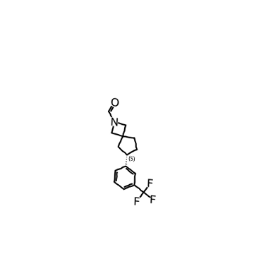 O=CN1CC2(CC[C@H](c3cccc(C(F)(F)F)c3)C2)C1